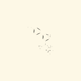 CCS(=O)(=O)NC(c1cncc(-c2ccc(Cl)cc2)c1)C1CC1